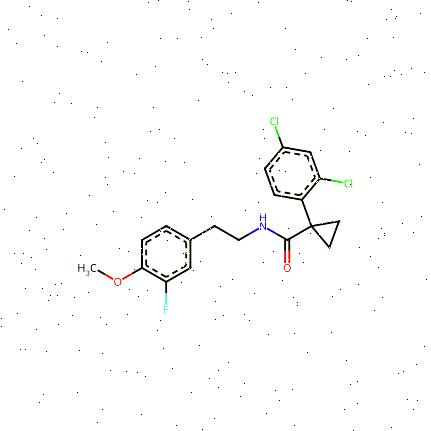 COc1ccc(CCNC(=O)C2(c3ccc(Cl)cc3Cl)CC2)cc1F